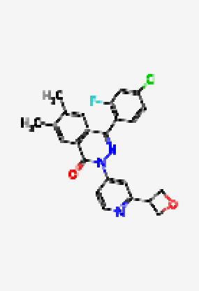 Cc1cc2c(-c3ccc(Cl)cc3F)nn(-c3ccnc(C4COC4)c3)c(=O)c2cc1C